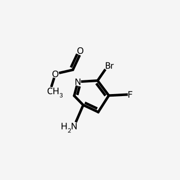 COC=O.Nc1cnc(Br)c(F)c1